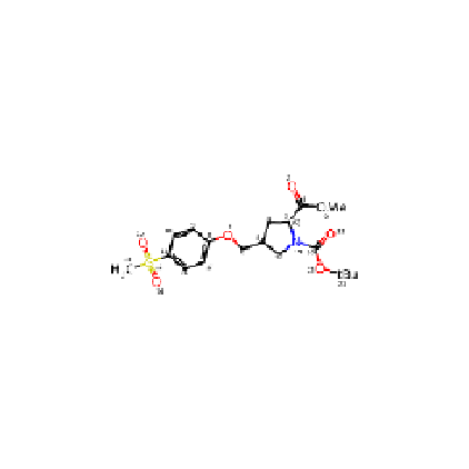 COC(=O)[C@@H]1CC(COc2ccc(S(C)(=O)=O)cc2)CN1C(=O)OC(C)(C)C